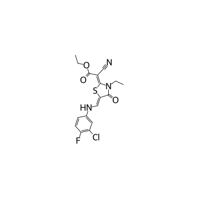 CCOC(=O)C(C#N)=c1sc(=CNc2ccc(F)c(Cl)c2)c(=O)n1CC